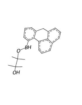 CC(C)(O)C(C)(C)OBc1cccc2c1-c1cccc3cccc(c13)C2